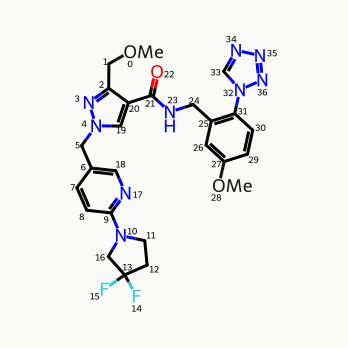 COCc1nn(Cc2ccc(N3CCC(F)(F)C3)nc2)cc1C(=O)NCc1cc(OC)ccc1-n1cnnn1